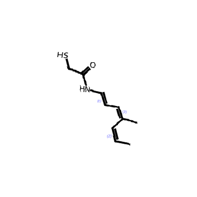 C\C=C/C(C)=C\C=C\NC(=O)CS